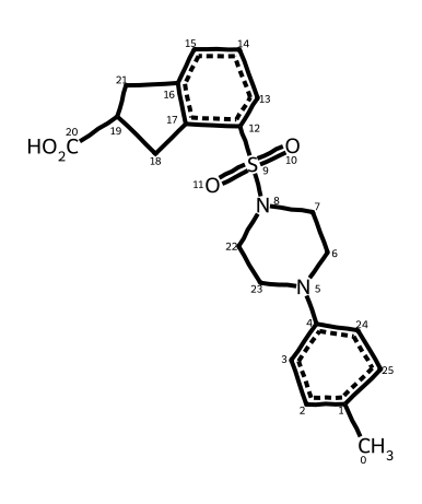 Cc1ccc(N2CCN(S(=O)(=O)c3cccc4c3CC(C(=O)O)C4)CC2)cc1